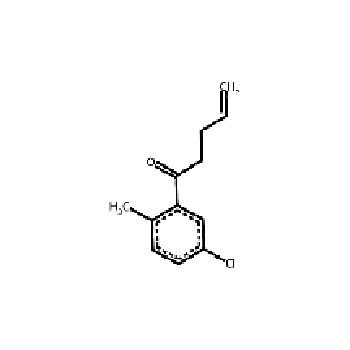 C=CCCC(=O)c1cc(Cl)ccc1C